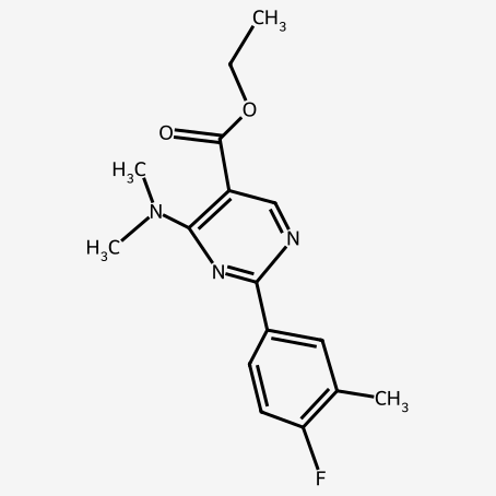 CCOC(=O)c1cnc(-c2ccc(F)c(C)c2)nc1N(C)C